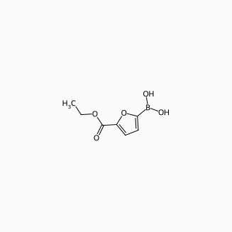 CCOC(=O)c1ccc(B(O)O)o1